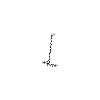 CC(O)(CCO)CCCCCCCCCCCCCCCCO